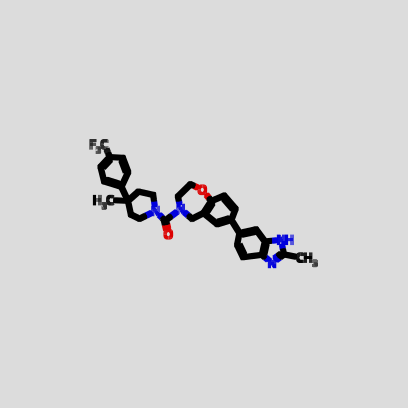 Cc1nc2ccc(-c3ccc4c(c3)CN(C(=O)N3CCC(C)(c5ccc(C(F)(F)F)cc5)CC3)CCO4)cc2[nH]1